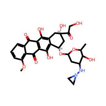 COc1cccc2c1C(=O)c1c(O)c3c(c(O)c1C2=O)C[C@@](O)(C(=O)CO)C[C@@H]3OC1CC(NN2CC2)C(O)C(C)O1